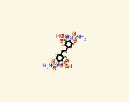 NS(=O)(=O)Nc1ccc(/C=C/c2ccc(NS(N)(=O)=O)c(S(=O)(=O)O)c2)cc1S(=O)(=O)O